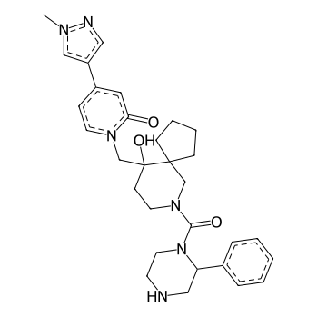 Cn1cc(-c2ccn(CC3(O)CCN(C(=O)N4CCNCC4c4ccccc4)CC34CCCC4)c(=O)c2)cn1